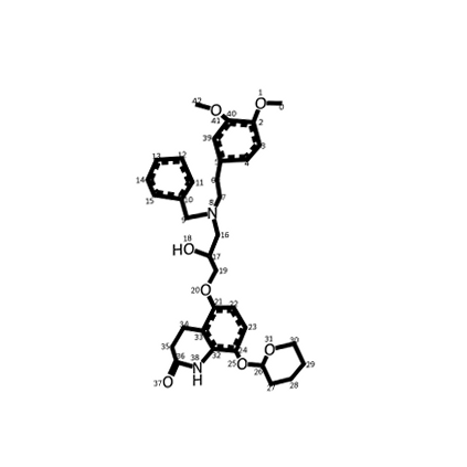 COc1ccc(CCN(Cc2ccccc2)CC(O)COc2ccc(OC3CCCCO3)c3c2CCC(=O)N3)cc1OC